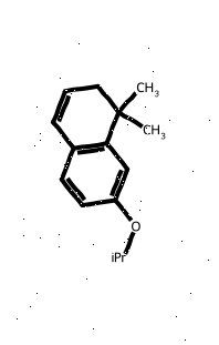 CC(C)Oc1ccc2c(c1)C(C)(C)CC=C2